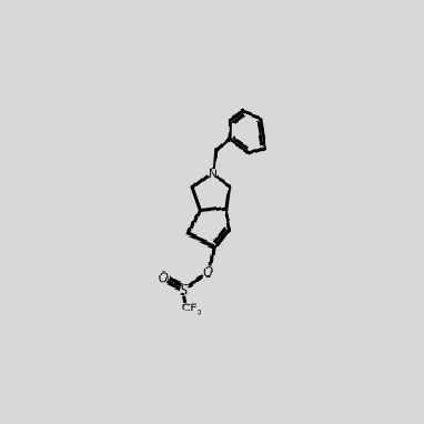 O=S(OC1=CC2CN(Cc3ccccc3)CC2C1)C(F)(F)F